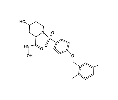 Cc1ccc(C)c(COc2ccc(S(=O)(=O)N3CCC(O)CC3C(=O)NO)cc2)c1